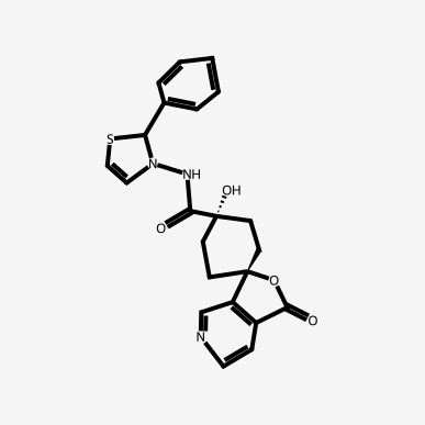 O=C1O[C@]2(CC[C@](O)(C(=O)NN3C=CSC3c3ccccc3)CC2)c2cnccc21